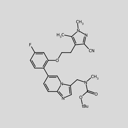 Cc1c(CCOc2cc(F)ccc2-c2ccc3ncc(CN(C)C(=O)OC(C)(C)C)n3c2)c(C#N)nn1C